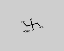 CC(C)(CO)[C@@H](O)C=O